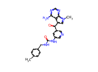 Cc1ccc(CNC(=O)Nc2cncc(C(=O)c3cn(C)c4ncnc(N)c34)c2)cc1